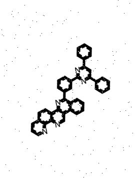 c1ccc(-c2cc(-c3ccccc3)nc(-c3cccc(-c4nc5c(cnc6c5ccc5cccnc56)c5ccccc45)c3)n2)cc1